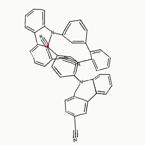 N#Cc1ccc(-n2c3ccccc3c3cc(C#N)ccc32)c(-c2ccccc2-c2cccc(-n3c4ccccc4c4cccc(C#N)c43)c2)c1